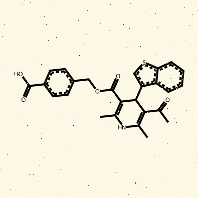 CC(=O)C1=C(C)NC(C)=C(C(=O)OCc2ccc(C(=O)O)cc2)C1c1csc2ccccc12